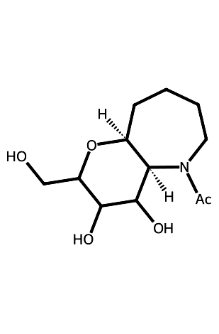 CC(=O)N1CCCC[C@@H]2OC(CO)C(O)C(O)[C@@H]21